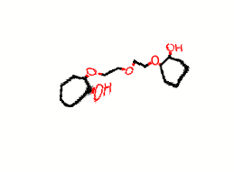 OC1CCCCC1OCCOCCOC1CCCCC1O